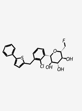 O[C@@H]1[C@@H](O)[C@H](c2cccc(Cc3ccc(-c4ccccc4)s3)c2Cl)O[C@H](CF)[C@H]1O